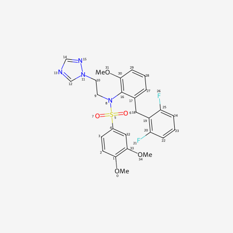 COc1ccc(S(=O)(=O)N(CCn2cncn2)c2c(Cc3c(F)cccc3F)cccc2OC)cc1OC